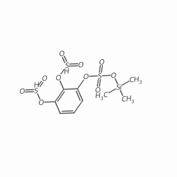 C[Si](C)(C)OS(=O)(=O)Oc1cccc(O[SH](=O)=O)c1O[SH](=O)=O